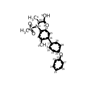 Cc1cc(N([C@@H](C)C(=O)O)S(C)(=O)=O)ccc1-c1ccc(Oc2ccccc2)cc1